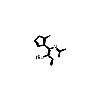 C=C/C(=C(\N=C(C)C)C1=C(C)CC=C1)C(C)(C)C